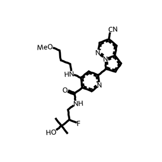 COCCCNc1cc(-c2ccc3cc(C#N)cnn23)ncc1C(=O)NCC(F)C(C)(C)O